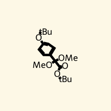 COC(OC)(C(=O)OC(C)(C)C)c1ccc(OC(C)(C)C)cc1